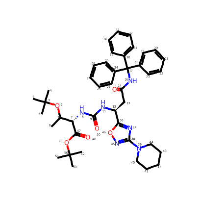 CC(OC(C)(C)C)[C@H](NC(=O)N[C@@H](CC(=O)NC(c1ccccc1)(c1ccccc1)c1ccccc1)c1nc(N2CCCCC2)no1)C(=O)OC(C)(C)C